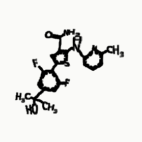 Cc1cccc(Nc2sc(-c3c(F)cc(C(C)(C)O)cc3F)cc2C(N)=O)n1